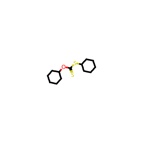 S=C(OC1CCCCC1)SC1CCCCC1